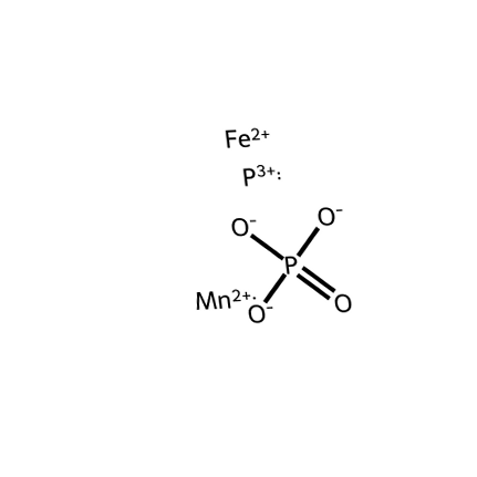 O=P([O-])([O-])[O-].[Fe+2].[Mn+2].[P+3]